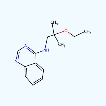 CCOC(C)(C)CNc1ncnc2ccccc12